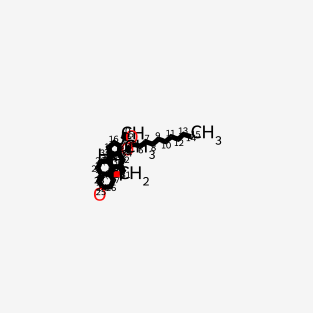 C#C[C@]1(OC(=O)CCCCCCCCCC)CC[C@H]2[C@@H]3CCC4=CC(=O)CC[C@@H]4[C@H]3C(=C)C[C@@]21CC